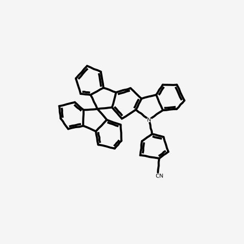 N#Cc1ccc(-n2c3ccccc3c3cc4c(cc32)C2(c3ccccc3-c3ccccc32)c2ccccc2-4)cc1